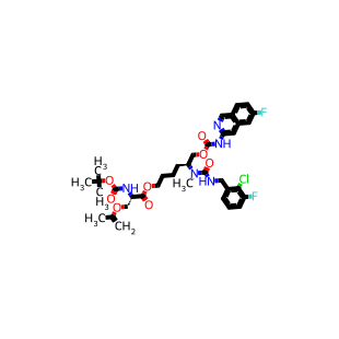 C=C(C)OC[C@H](NC(=O)OC(C)(C)C)C(=O)OCCCC[C@@H](COC(=O)Nc1cc2cc(F)ccc2cn1)N(C)C(=O)NCc1cccc(F)c1Cl